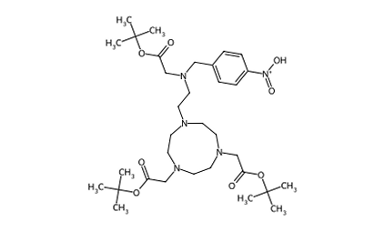 CC(C)(C)OC(=O)CN1CCN(CCN(CC(=O)OC(C)(C)C)Cc2ccc([N+](=O)O)cc2)CCN(CC(=O)OC(C)(C)C)CC1